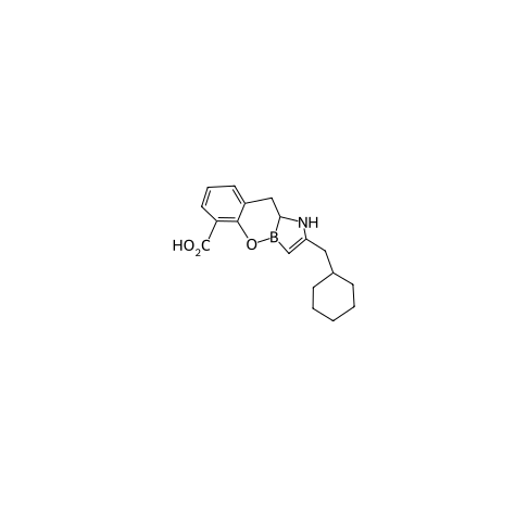 O=C(O)c1cccc2c1OB1C=C(CC3CCCCC3)NC1C2